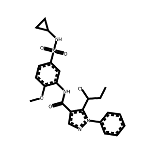 CCC(Cl)c1c(C(=O)Nc2cc(S(=O)(=O)NC3CC3)ccc2OC)cnn1-c1ccccc1